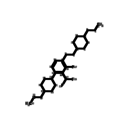 CCCC1CCC(CCc2ccc(C3CCC(COC)CC3)c(C(F)F)c2F)CC1